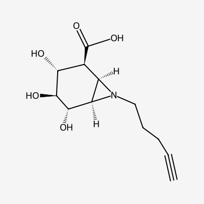 C#CCCCN1[C@@H]2[C@H](C(=O)O)[C@@H](O)[C@H](O)[C@@H](O)[C@@H]21